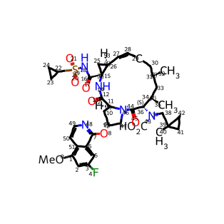 COc1cc(F)cc2c(O[C@@H]3C[C@H]4C(=O)N[C@]5(C(=O)NS(=O)(=O)C6CC6)C[C@H]5C=CCC[C@@H](C)C[C@@H](C)[C@H](N(CC5(C)CC5)C(=O)O)C(=O)N4C3)nccc12